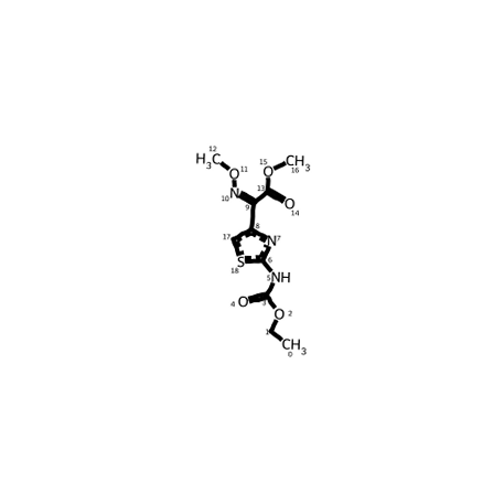 CCOC(=O)Nc1nc(C(=NOC)C(=O)OC)cs1